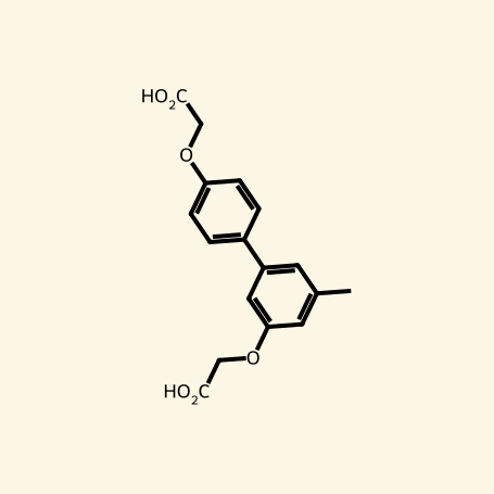 Cc1cc(OCC(=O)O)cc(-c2ccc(OCC(=O)O)cc2)c1